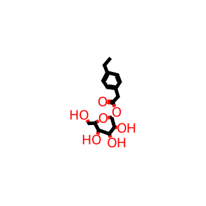 CCc1ccc(CC(=O)OC2OC(CO)C(O)C(O)C2O)cc1